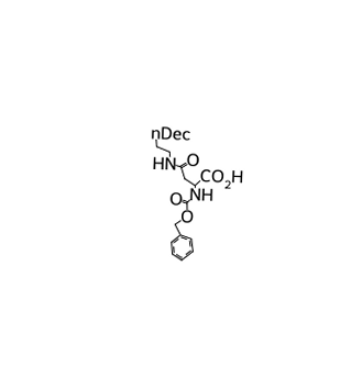 CCCCCCCCCCCCNC(=O)CC(NC(=O)OCc1ccccc1)C(=O)O